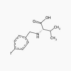 CC(C)[C@H](NCc1ccc(I)cc1)C(=O)O